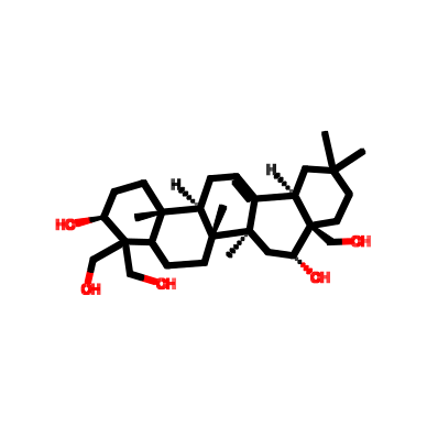 CC1(C)CC[C@]2(CO)[C@H](O)C[C@]3(C)C(=CC[C@@H]4[C@@]5(C)CC[C@H](O)C(CO)(CO)C5CC[C@]43C)[C@H]2C1